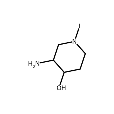 NC1CN(I)CCC1O